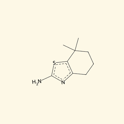 CC1(C)CCCc2nc(N)sc21